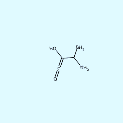 BC(N)C(O)=C=O